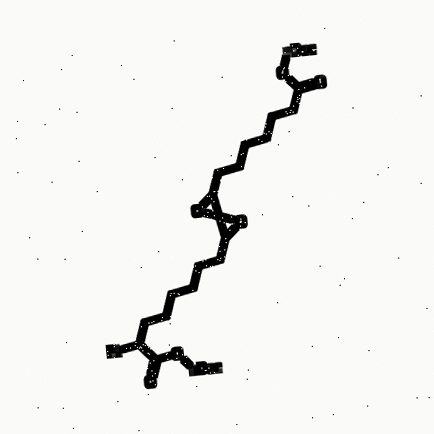 CCCCCCCCCCOC(=O)CCCCCCC1OC12OC2CCCCCCC(CC)C(=O)OCCCCCCCCCC